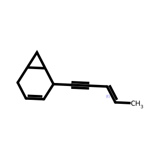 C/C=C/C#CC1C=CCC2CC12